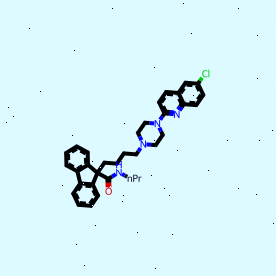 CCCNC(=O)C1(CCCCN2CCN(c3ccc4cc(Cl)ccc4n3)CC2)c2ccccc2-c2ccccc21